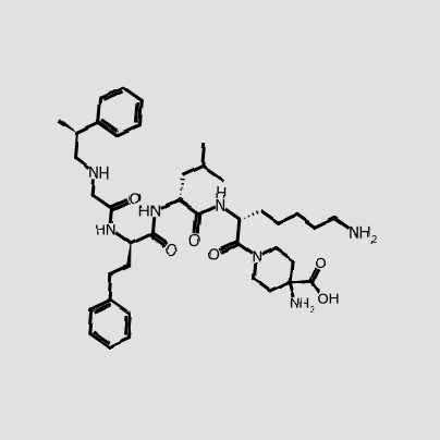 CC(C)C[C@@H](NC(=O)[C@@H](CCc1ccccc1)NC(=O)CNC[C@@H](C)c1ccccc1)C(=O)N[C@H](CCCCCN)C(=O)N1CCC(N)(C(=O)O)CC1